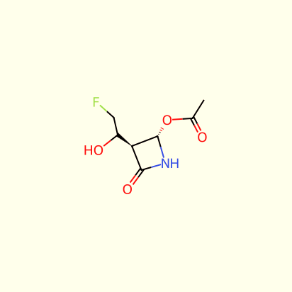 CC(=O)O[C@@H]1NC(=O)[C@H]1C(O)CF